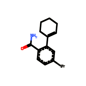 CC(C)c1ccc(C(N)=O)c(C2=CCCCC2)c1